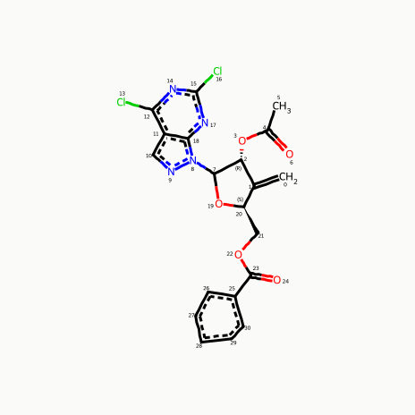 C=C1[C@@H](OC(C)=O)C(n2ncc3c(Cl)nc(Cl)nc32)O[C@@H]1COC(=O)c1ccccc1